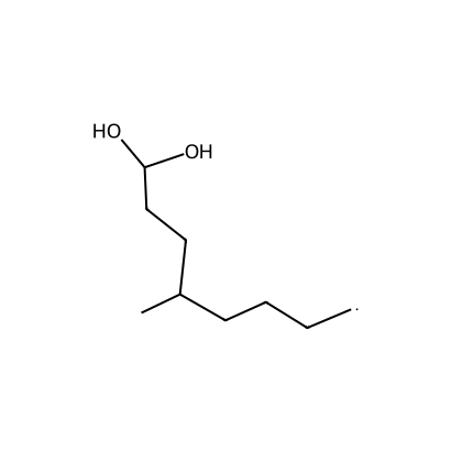 [CH2]CCCC(C)CCC(O)O